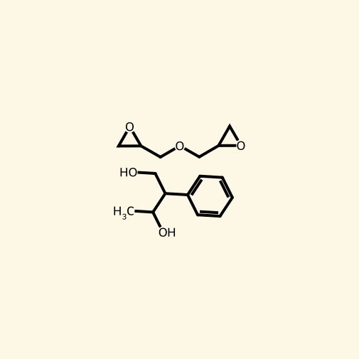 C(OCC1CO1)C1CO1.CC(O)C(CO)c1ccccc1